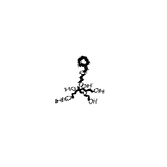 OCCCOCC(COCCCCOCc1ccccc1)(C(O)CCCO)C(O)CCCO